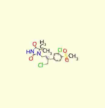 CC1(C)C(=O)NC(=O)N1C/C=C(\CCl)c1ccc(S(C)(=O)=O)c(Cl)c1